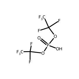 O=P(O)(OC(F)(F)C(F)(F)F)OC(F)(F)C(F)(F)F